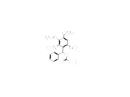 COc1cc([N+](=O)[O-])c(C(OC(=O)C(Cl)(Cl)Cl)c2ccccc2)c([N+](=O)[O-])c1OC